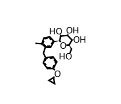 Cc1ccc([C@@H]2O[C@H](CO)[C@@H](O)[C@H](O)[C@H]2O)cc1Cc1ccc(OC2CC2)cc1